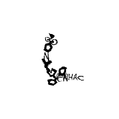 CC(=O)N[C@H]1CCC[C@@H]1C(C#N)(C1C=CC=CC1)C1CCN(CC2CN(c3ccc(S(=O)(=O)C4CC4)cc3)C2)CC1